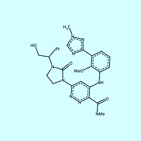 CNC(=O)c1nnc(N2CCN(C(CO)C(C)C)C2=O)cc1Nc1cccc(-c2ncn(C)n2)c1OC